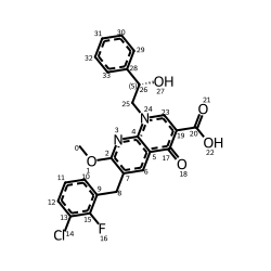 COc1nc2c(cc1Cc1cccc(Cl)c1F)c(=O)c(C(=O)O)cn2C[C@@H](O)c1ccccc1